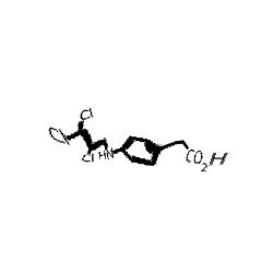 O=C(O)Cc1ccc(NCC(Cl)=C(Cl)Cl)cc1